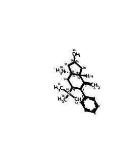 C=C1C(c2ccccc2)C([Si](C)(C)C)C[C@@]2(N)C[C@@H](O)C[C@H]12